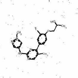 Cc1cnc(Nc2cnn(C)c2)nc1-c1ccc(OCC(C)O)c(F)c1